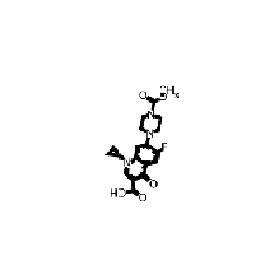 COC(=O)N1CCN(c2cc3c(cc2F)c(=O)c(C(=O)O)cn3C2CC2)CC1